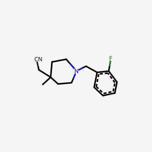 CC1(CC#N)CCN(Cc2ccccc2F)CC1